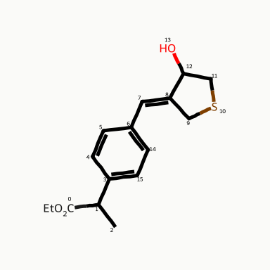 CCOC(=O)C(C)c1ccc(/C=C2\CSCC2O)cc1